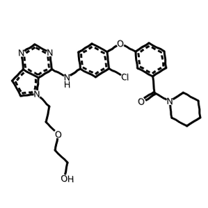 O=C(c1cccc(Oc2ccc(Nc3ncnc4ccn(CCOCCO)c34)cc2Cl)c1)N1CCCCC1